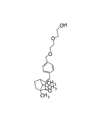 CC12CCC(C(=Cc3ccc(COCCOCCO)cc3)C1=O)C2(C)C